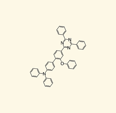 c1ccc(Oc2cc(-c3nc(-c4ccccc4)nc(-c4ccccc4)n3)ccc2-c2ccc(N(c3ccccc3)c3ccccc3)cc2)cc1